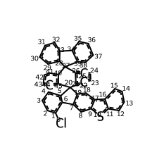 Clc1cccc2c1-c1cc3sc4ccccc4c3cc1C21c2ccccc2C2(c3ccccc3-c3ccccc32)c2ccccc21